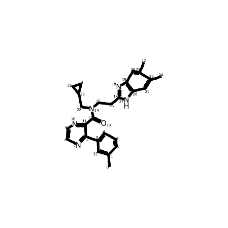 Cc1cccc(-c2nccnc2C(=O)N(CCc2nc3cc(C)c(C)cc3[nH]2)CC2CC2)c1